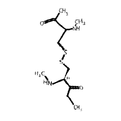 CCC(=O)[C@H](CSSCC(NC)C(C)=O)NC